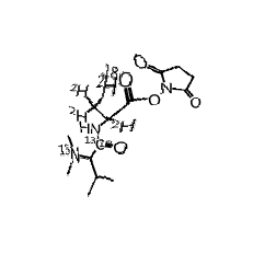 [2H]C([2H])([2H])C([2H])(N[13C](=[18O])C(C(C)C)[15N](C)C)C(=[18O])ON1C(=O)CCC1=O